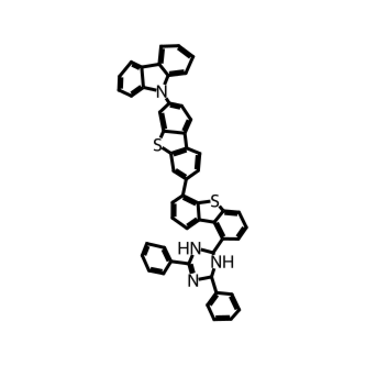 c1ccc(C2=NC(c3ccccc3)NC(c3cccc4sc5c(-c6ccc7c(c6)sc6cc(-n8c9ccccc9c9ccccc98)ccc67)cccc5c34)N2)cc1